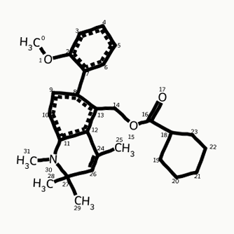 COc1ccccc1-c1ccc2c(c1COC(=O)C1CCCCC1)C(C)=CC(C)(C)N2C